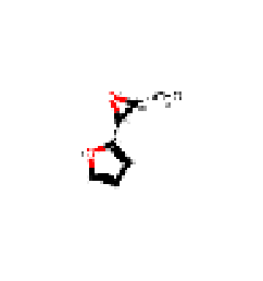 O=C[C@H]1O[C@H]1c1ccco1